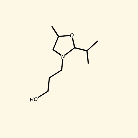 CC1CN(CCCO)C(C(C)C)O1